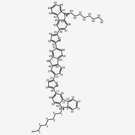 CCCCCCCCn1c2ccccc2c2cc(-c3ccc(-c4ccc5c(c4)Cc4cc(-c6ccc(-c7ccc8c(c7)c7ccccc7n8CCCCCCCC)s6)ccc4-5)s3)ccc21